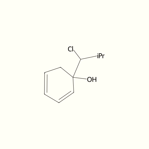 CC(C)C(Cl)C1(O)C=CC=CC1